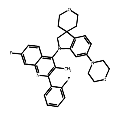 Cc1c(-c2ccccc2F)nc2cc(F)ccc2c1N1CC2(CCOCC2)c2ccc(N3CCOCC3)cc21